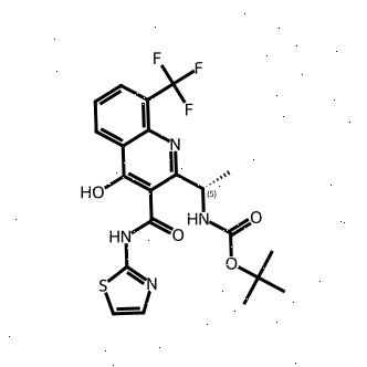 C[C@H](NC(=O)OC(C)(C)C)c1nc2c(C(F)(F)F)cccc2c(O)c1C(=O)Nc1nccs1